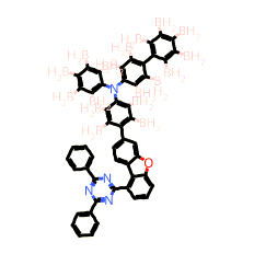 Bc1c(B)c(B)c(-c2c(B)c(B)c(N(c3c(B)c(B)c(B)c(B)c3B)c3c(B)c(B)c(-c4ccc5c(c4)oc4cccc(-c6nc(-c7ccccc7)nc(-c7ccccc7)n6)c45)c(B)c3B)c(B)c2B)c(B)c1B